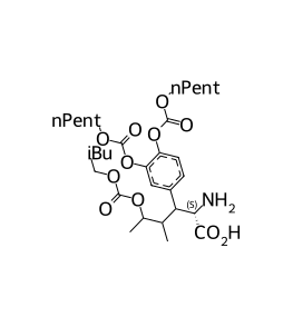 CCCCCOC(=O)Oc1ccc(C(C(C)C(C)OC(=O)OCC(C)CC)[C@H](N)C(=O)O)cc1OC(=O)OCCCCC